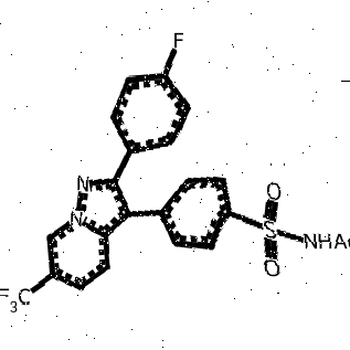 CC(=O)NS(=O)(=O)c1ccc(-c2c(-c3ccc(F)cc3)nn3cc(C(F)(F)F)ccc23)cc1